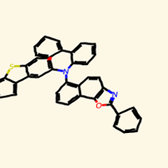 c1ccc(-c2nc3ccc4c(N(c5ccc6sc7ccccc7c6c5)c5ccccc5-c5ccccc5)cccc4c3o2)cc1